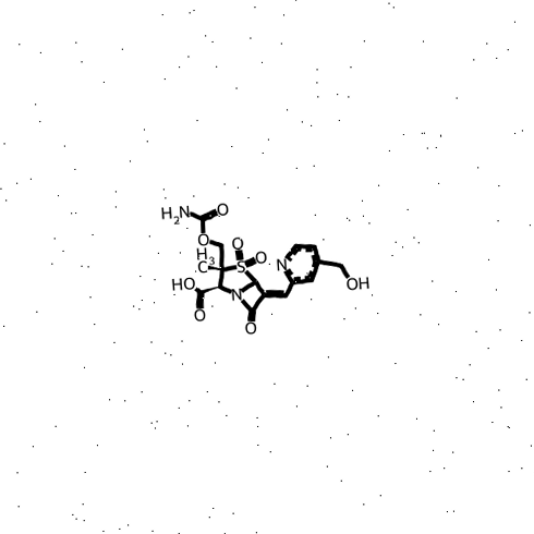 C[C@]1(COC(N)=O)[C@H](C(=O)O)N2C(=O)/C(=C/c3cc(CO)ccn3)C2S1(=O)=O